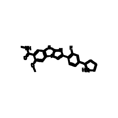 CNC(=O)c1cc2sc3nc(-c4ccc(C5CCCN5)cc4F)cn3c2cc1OC